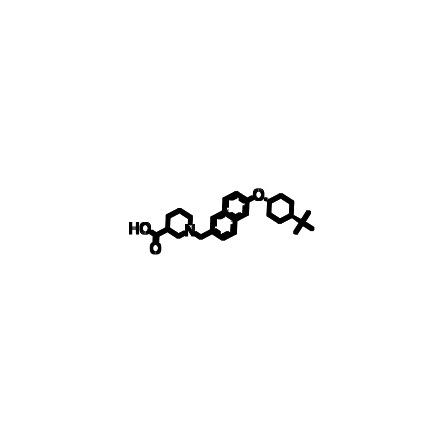 CC(C)(C)[C@H]1CC[C@H](Oc2ccc3cc(CN4CCCC(C(=O)O)C4)ccc3c2)CC1